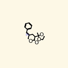 CC1(C2C/C(=C\c3ccccc3)COC2=O)OCCO1